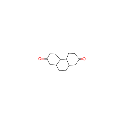 O=C1CCC2C(CCC3CC(=O)CCC32)C1